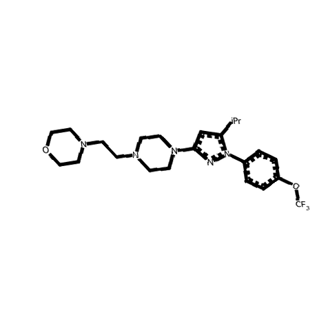 CC(C)c1cc(N2CCN(CCN3CCOCC3)CC2)nn1-c1ccc(OC(F)(F)F)cc1